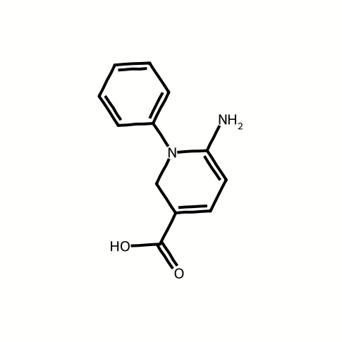 NC1=CC=C(C(=O)O)CN1c1ccccc1